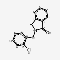 O=C1c2ccccc2CN1Cc1ccccc1Cl